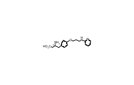 N[C@H](CC(=O)O)Cc1ccc(OCCCNc2ccccn2)cc1